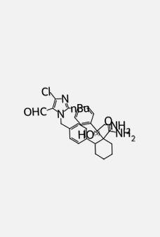 CCCCc1nc(Cl)c(C=O)n1Cc1ccc(C2CCCCC2(C(N)=O)[C@](O)(CN)c2ccccc2)cc1